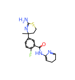 CC1(c2ccc(F)c(C(=O)NC3=CCCC=N3)c2)CCSC(N)=N1